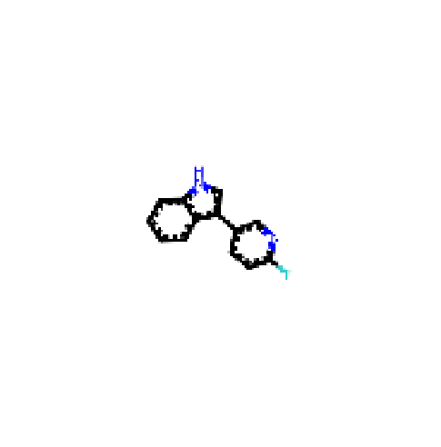 Fc1ccc(-c2c[nH]c3ccccc23)cn1